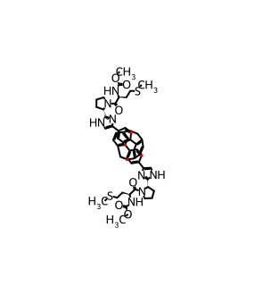 COC(=O)N[C@@H](CCSC)C(=O)N1CCC[C@H]1c1nc(-c2ccc(-c3cc4ccc3CCc3ccc(c(-c5ccc(-c6c[nH]c([C@@H]7CCCN7C(=O)[C@H](CCSC)NC(=O)OC)n6)cc5)c3)CC4)cc2)c[nH]1